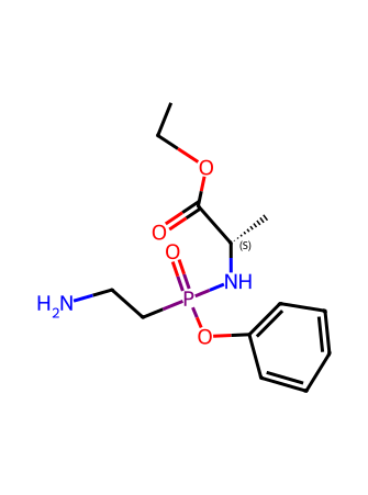 CCOC(=O)[C@H](C)NP(=O)(CCN)Oc1ccccc1